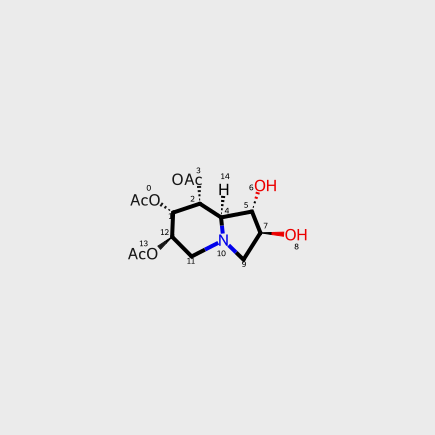 CC(=O)O[C@@H]1[C@H](OC(C)=O)[C@H]2[C@H](O)[C@@H](O)CN2C[C@H]1OC(C)=O